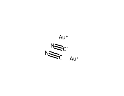 [Au+].[Au+].[C-]#N.[C-]#N